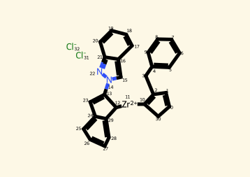 C1=CC(Cc2ccccc2)=[C]([Zr+2][CH]2C(n3cc4ccccc4n3)=Cc3ccccc32)C1.[Cl-].[Cl-]